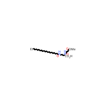 CCC=CCC=CCC=CCC=CCC=CCC=CCCC(=O)NCCCC(NC(=O)C=CC(=O)OC)C(=O)O